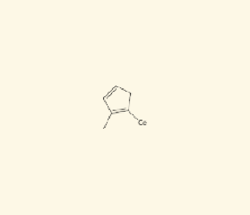 CC1=[C]([Ce])CC=C1